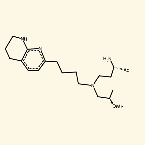 CO[C@H](C)CN(CCCCc1ccc2c(n1)NCCC2)CC[C@H](N)C(C)=O